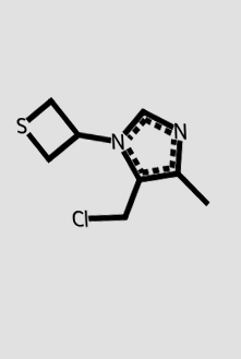 Cc1ncn(C2CSC2)c1CCl